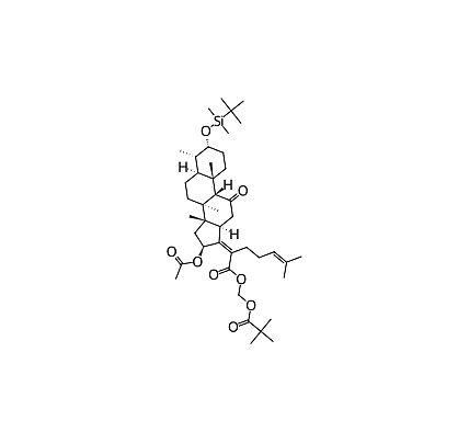 CC(=O)O[C@H]1C[C@@]2(C)[C@@H](CC(=O)[C@H]3[C@@]4(C)CC[C@@H](O[Si](C)(C)C(C)(C)C)[C@@H](C)[C@@H]4CC[C@@]32C)/C1=C(\CCC=C(C)C)C(=O)OCOC(=O)C(C)(C)C